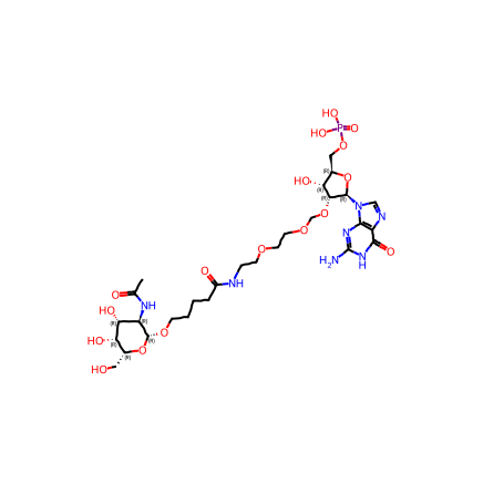 CC(=O)N[C@H]1[C@H](OCCCCC(=O)NCCOCCOCO[C@@H]2[C@H](O)[C@@H](COP(=O)(O)O)O[C@H]2n2cnc3c(=O)[nH]c(N)nc32)O[C@H](CO)[C@H](O)[C@@H]1O